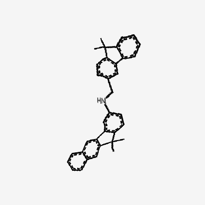 CC1(C)c2ccccc2-c2cc(CNc3ccc4c(c3)-c3cc5ccccc5cc3C4(C)C)ccc21